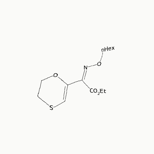 CCCCCCON=C(C(=O)OCC)C1=CSCCO1